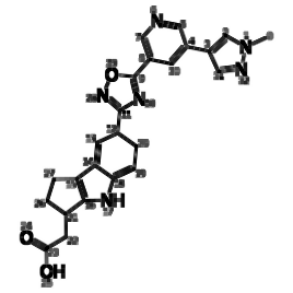 Cn1cc(-c2cncc(-c3nc(C4C=c5c6c([nH]c5=CC4)C(CC(=O)O)CC6)no3)c2)cn1